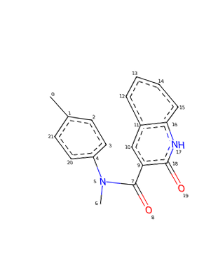 Cc1ccc(N(C)C(=O)c2cc3ccccc3[nH]c2=O)cc1